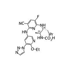 CCOc1ncc(Nc2nc(N[C@H](CC(C)C)[C@H](C)NC(=O)O)c(F)cc2C#N)cc1-n1ccnn1